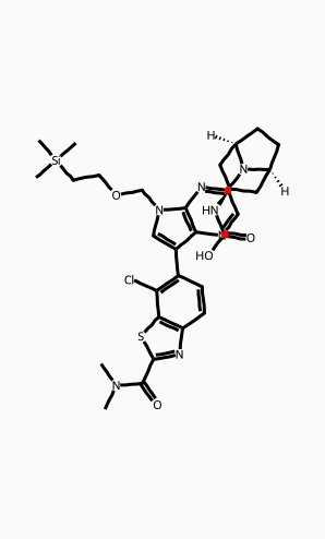 CN(C)C(=O)c1nc2ccc(-c3cn(COCC[Si](C)(C)C)c4nc(N5[C@@H]6CC[C@H]5C[C@@H](NC(=O)O)C6)cnc34)c(Cl)c2s1